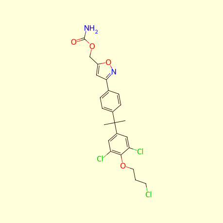 CC(C)(c1ccc(-c2cc(COC(N)=O)on2)cc1)c1cc(Cl)c(OCCCCl)c(Cl)c1